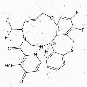 O=C1c2c(O)c(=O)ccn2N2CN1C(C(F)F)/C=C/COc1cc(F)c(F)c3c1[C@H]2c1ccccc1SC3